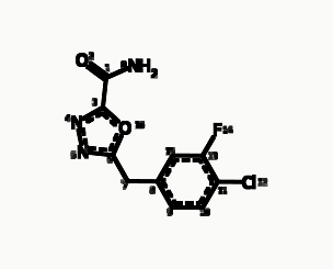 NC(=O)c1nnc([CH]c2ccc(Cl)c(F)c2)o1